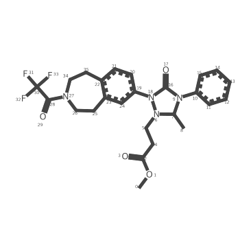 COC(=O)CCN1C(C)N(c2ccccc2)C(=O)N1c1ccc2c(c1)CCN(C(=O)C(F)(F)F)CC2